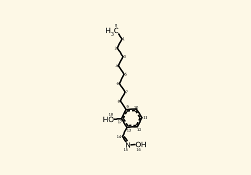 CCCCCCCCCc1cccc(/C=N\O)c1O